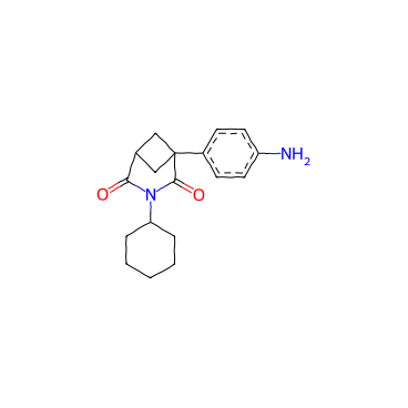 Nc1ccc(C23CC(C2)C(=O)N(C2CCCCC2)C3=O)cc1